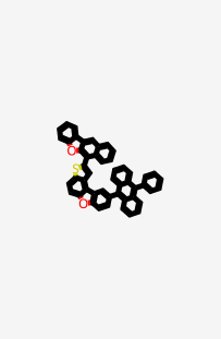 c1ccc(-c2c3ccccc3c(-c3ccc4oc5ccc6sc(-c7c8ccccc8cc8c7oc7ccccc78)cc6c5c4c3)c3ccccc23)cc1